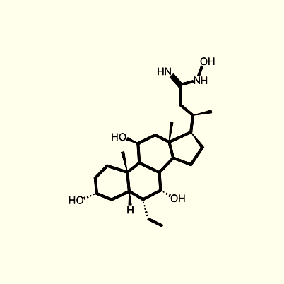 CC[C@H]1[C@@H](O)C2C3CC[C@H]([C@H](C)CC(=N)NO)[C@@]3(C)C[C@H](O)C2[C@@]2(C)CC[C@@H](O)C[C@@H]12